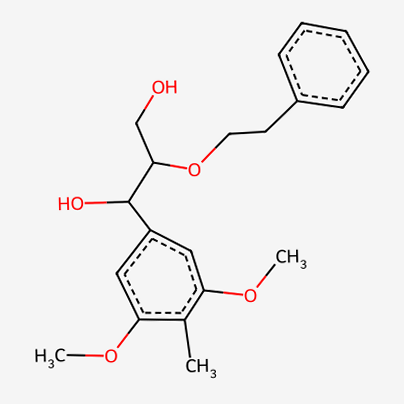 COc1cc(C(O)C(CO)OCCc2ccccc2)cc(OC)c1C